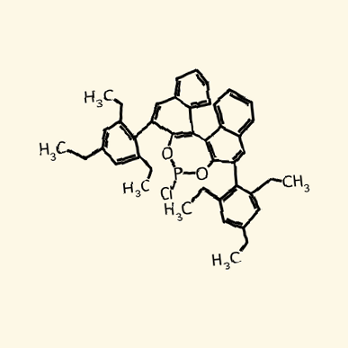 CCc1cc(CC)c(-c2cc3ccccc3c3c2op(Cl)oc2c(-c4c(CC)cc(CC)cc4CC)cc4ccccc4c23)c(CC)c1